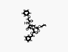 CCCOC(=O)N1CC2[C@@H](NC(=O)COc3ccccc3)C(=O)N2C1C(=O)OCc1ccccc1